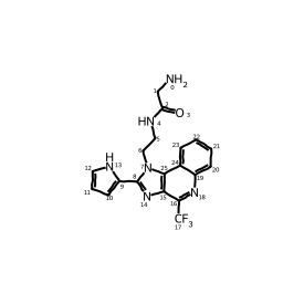 NCC(=O)NCCn1c(-c2ccc[nH]2)nc2c(C(F)(F)F)nc3ccccc3c21